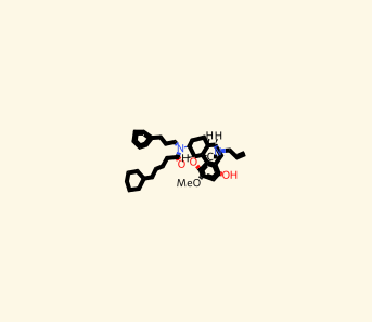 C=CCN1CC[C@]23c4c5c(O)cc(OC)c4O[C@H]2[C@H](N(CCCc2ccccc2)C(=O)CCCCC2CCCCC2)CC[C@H]3[C@H]1C5